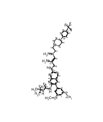 COc1cc(OC)cc(-c2cc3cnc(NC/C(N)=C/N(N)CCN4CCN(c5ccc(C(F)(F)F)cn5)CC4)nc3nc2NC(=O)NC(C)(C)C)c1